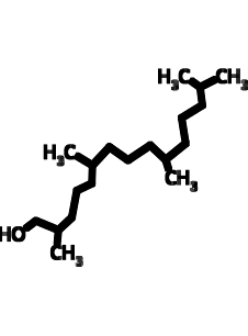 CC(C)CCCC(C)CCCC(C)CCCC(C)CO